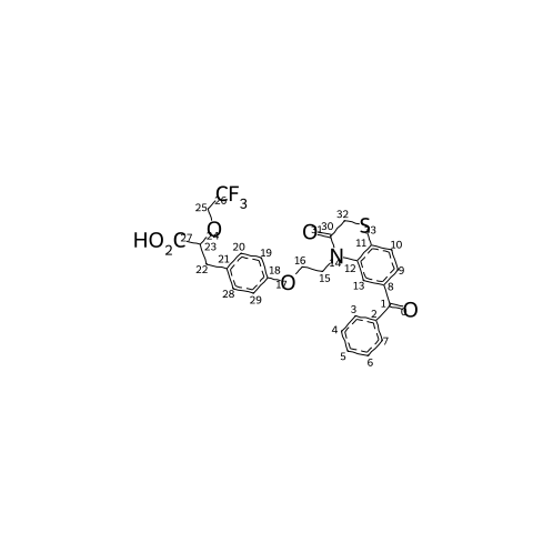 O=C(c1ccccc1)c1ccc2c(c1)N(CCOc1ccc(CC(OCC(F)(F)F)C(=O)O)cc1)C(=O)CS2